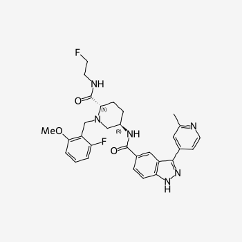 COc1cccc(F)c1CN1C[C@H](NC(=O)c2ccc3[nH]nc(-c4ccnc(C)c4)c3c2)CC[C@H]1C(=O)NCCF